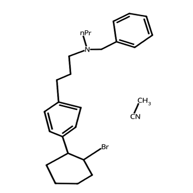 CC#N.CCCN(CCCc1ccc(C2CCCCC2Br)cc1)Cc1ccccc1